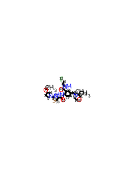 CO[C@H]1CCN(c2nc(C(=O)Nc3ccc(CN4CCOCC4(C)C)cc3C(=O)NCCF)cs2)C1